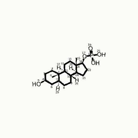 C[C@]12CC[C@H](O)C[C@@H]1CC[C@@H]1[C@@H]2CC[C@]2(C)[C@@H](OP(=O)(O)O)CC[C@@H]12